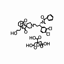 CN(C[C@@H](CCN1CCC(C(=O)NCCO)(N2CCCCC2=O)CC1)c1ccc(Cl)c(Cl)c1)C(=O)c1ccccc1.O=C(O)CC(O)(CC(=O)O)C(=O)O